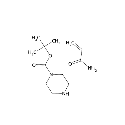 C=CC(N)=O.CC(C)(C)OC(=O)N1CCNCC1